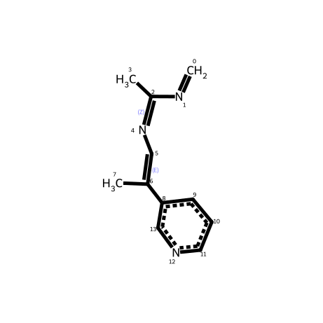 C=N/C(C)=N\C=C(/C)c1cccnc1